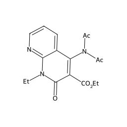 CCOC(=O)c1c(N(C(C)=O)C(C)=O)c2cccnc2n(CC)c1=O